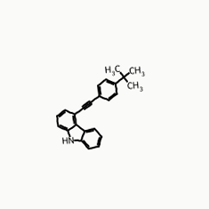 CC(C)(C)c1ccc(C#Cc2cccc3[nH]c4ccccc4c23)cc1